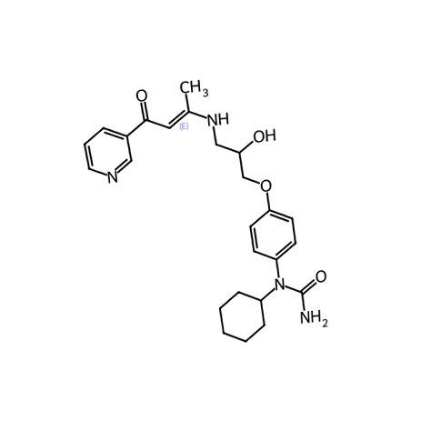 C/C(=C\C(=O)c1cccnc1)NCC(O)COc1ccc(N(C(N)=O)C2CCCCC2)cc1